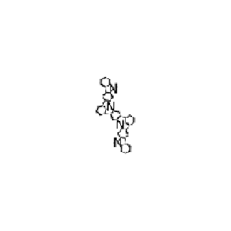 Cn1c2ccccc2c2cc3c4cccc5c6cc7c(cc6n(c3cc21)c54)c1cccc2c3cc4c5ccccc5n(C)c4cc3n7c12